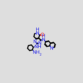 N[C@H]1CCCC[C@H]1Nc1nc2c(c(Nc3ccc4ncccc4c3)n1)C(=O)NCC2